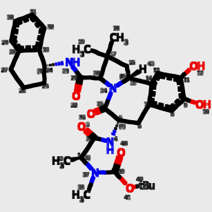 C[C@@H](C(=O)N[C@H]1Cc2cc(O)c(O)cc2[C@H]2CC(C)(C)C(C(=O)N[C@@H]3CCCc4ccccc43)N2C1=O)N(C)C(=O)OC(C)(C)C